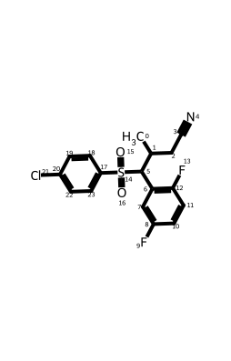 CC(CC#N)C(c1cc(F)ccc1F)S(=O)(=O)c1ccc(Cl)cc1